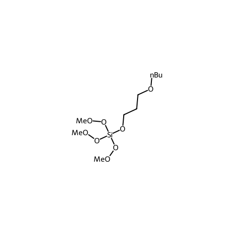 CCCCOCCCO[Si](OOC)(OOC)OOC